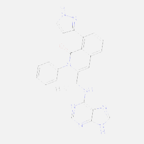 C[C@@H](Nc1ncnc2[nH]cnc12)c1cc2cccc(-c3cc[nH]n3)c2c(=O)n1-c1ccccc1